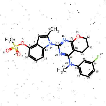 Cc1cc2c(OS(=O)(=O)C(F)(F)F)cccc2n1-c1nc2c(c(N(C)c3cccc(F)c3)n1)CCCO2